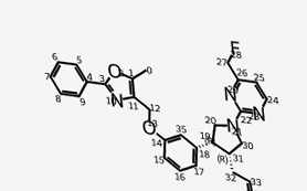 Cc1oc(-c2ccccc2)nc1COc1cccc([C@@H]2CN(c3nccc(CF)n3)C[C@@H]2CC=O)c1